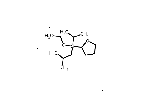 CCO[Si](CC(C)C)(C(C)C)C1CCCO1